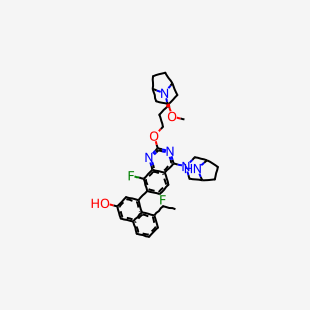 CCc1cccc2cc(O)cc(-c3c(F)cc4c(N5CC6CCC(C5)N6)nc(OCCCN5C6CCC5CC(OC)C6)nc4c3F)c12